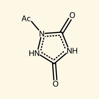 CC(=O)n1[nH]c(=O)[nH]c1=O